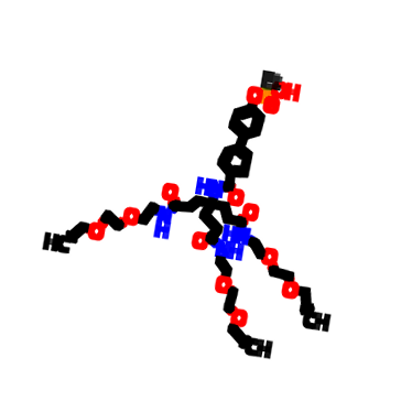 C#CCOCCOCCNC(=O)CCC(CCC(=O)NCCOCCOCC#C)(CCC(=O)NCCOCCOCC#C)NC(=O)c1ccc(-c2ccc(OP(=O)(O)CC)cc2)cc1